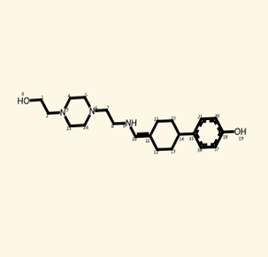 OCCN1CCN(CCNC=C2CCC(c3ccc(O)cc3)CC2)CC1